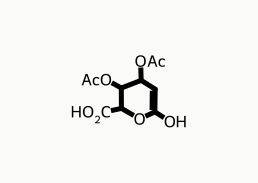 CC(=O)OC1C=C(O)OC(C(=O)O)C1OC(C)=O